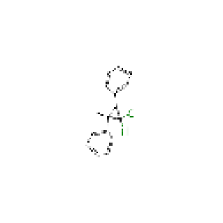 CC1(c2ccccc2)C(c2ccccc2)C1(Cl)Cl